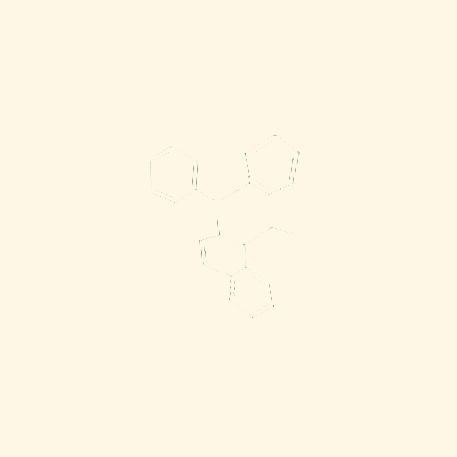 CCc1c(P(c2ccccc2)c2ccccc2)ccc2ccccc12